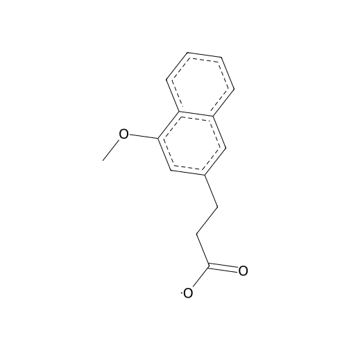 COc1cc(CCC([O])=O)cc2ccccc12